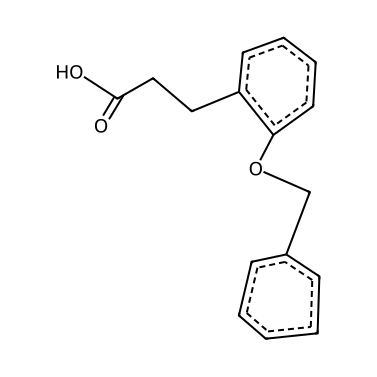 O=C(O)CCc1ccccc1OCc1ccccc1